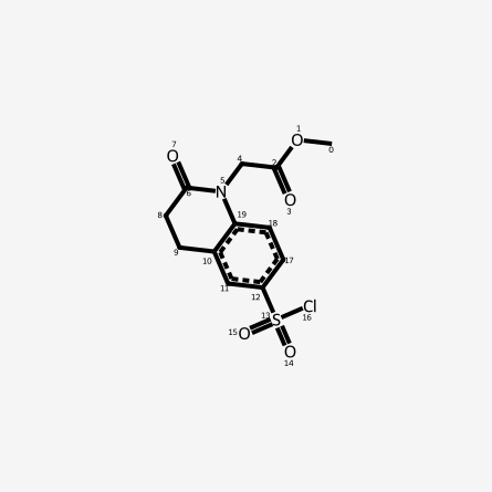 COC(=O)CN1C(=O)CCc2cc(S(=O)(=O)Cl)ccc21